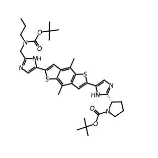 CCCN(Cc1ncc(-c2cc3c(C)c4sc(-c5cnc([C@@H]6CCCN6C(=O)OC(C)(C)C)[nH]5)cc4c(C)c3s2)[nH]1)C(=O)OC(C)(C)C